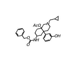 CC(=O)OC12CCC(NC(=O)OCc3ccccc3)CC1(c1cccc(O)c1)CCN(CC1CC1)C2